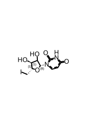 O=c1ccn([C@@H]2O[C@H](CI)[C@@H](O)C2O)c(=O)[nH]1